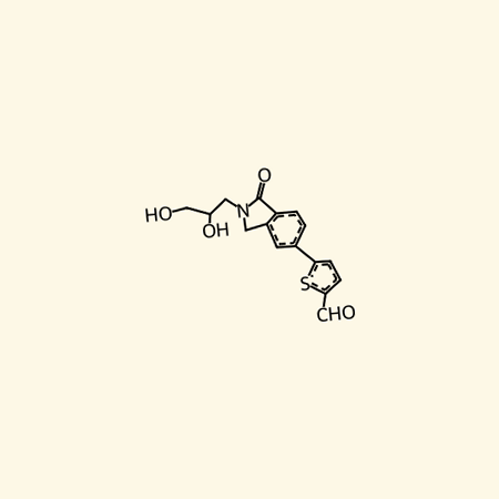 O=Cc1ccc(-c2ccc3c(c2)CN(CC(O)CO)C3=O)s1